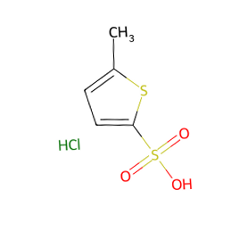 Cc1ccc(S(=O)(=O)O)s1.Cl